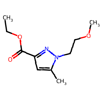 CCOC(=O)c1cc(C)n(CCOC)n1